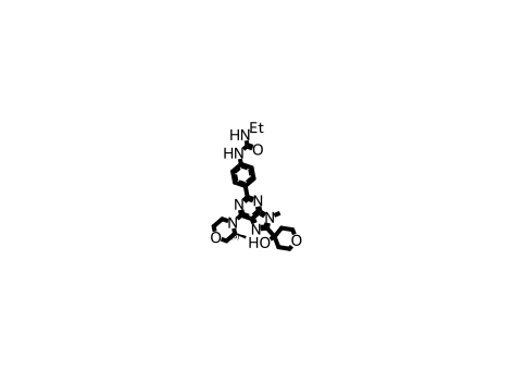 CCNC(=O)Nc1ccc(-c2nc(N3CCOC[C@@H]3C)c3nc(C4(O)CCOCC4)n(C)c3n2)cc1